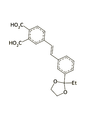 CCC1(c2cccc(C=Cc3ccc(C(=O)O)c(C(=O)O)c3)c2)OCCO1